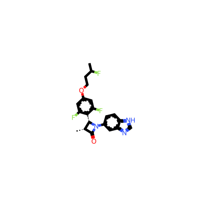 CC(F)CCOc1cc(F)c([C@H]2[C@@H](C)C(=O)N2c2ccc3[nH]cnc3c2)c(F)c1